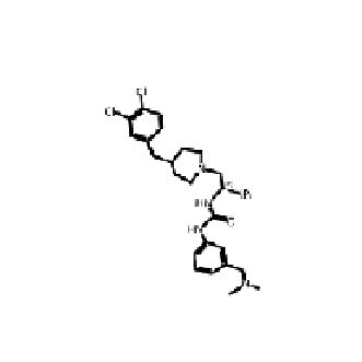 CC(C)[C@H](CN1CCC(Cc2ccc(Cl)c(Cl)c2)CC1)NC(=O)Nc1cccc(CN(C)C)c1